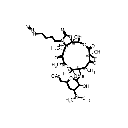 CCC1OC(=O)[C@@](C)(F)C(=O)[C@H](C)[C@@H](OC2OC(COC(C)=O)CC(N(C)C)C2O)[C@@](C)(OC)C[C@@H](C)C(=O)[C@H](C)[C@H]2N(CCCCN=[N+]=[N-])C(=O)O[C@]12C